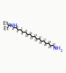 CCC(CC)NCCCCCCCCCCCCCCCCCCN